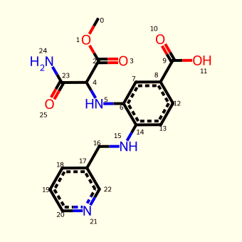 COC(=O)C(Nc1cc(C(=O)O)ccc1NCc1cccnc1)C(N)=O